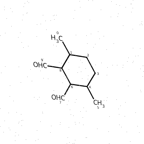 CC1CCC(C)C(C=O)C1C=O